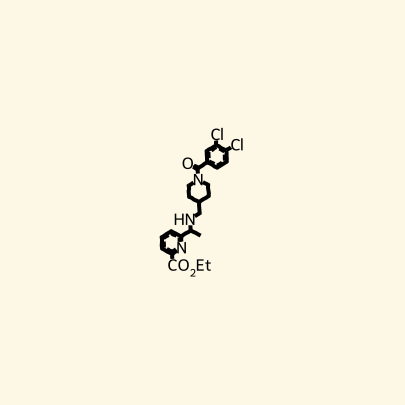 CCOC(=O)c1cccc(C(C)NCC2CCN(C(=O)c3ccc(Cl)c(Cl)c3)CC2)n1